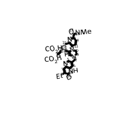 CCc1cc2ncc(CN3CCN4c5ccc(C(=O)NC)nc5COC[C@H]4C3)cc2[nH]c1=O.O=C(O)/C=C/C(=O)O